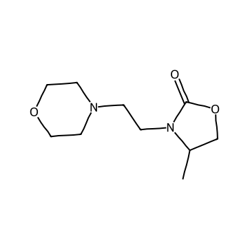 CC1COC(=O)N1CCN1CCOCC1